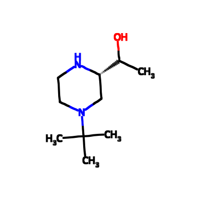 CC(O)[C@@H]1CN(C(C)(C)C)CCN1